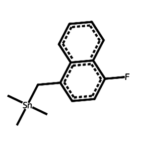 [CH3][Sn]([CH3])([CH3])[CH2]c1ccc(F)c2ccccc12